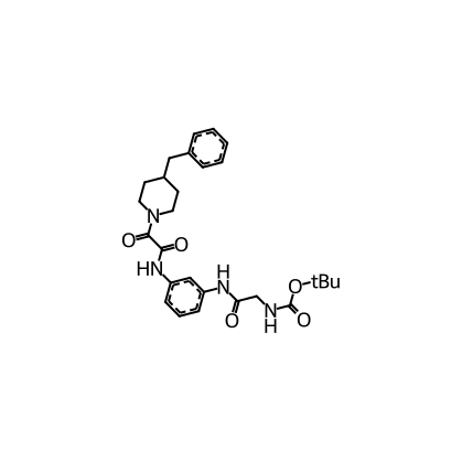 CC(C)(C)OC(=O)NCC(=O)Nc1cccc(NC(=O)C(=O)N2CCC(Cc3ccccc3)CC2)c1